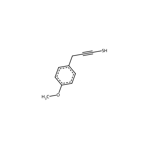 COc1ccc(CC#CS)cc1